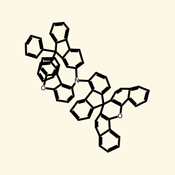 c1ccc(C2(c3ccccc3)c3ccccc3-c3ccc(N(c4cccc5c4-c4ccccc4C54c5ccc6ccccc6c5Oc5c4ccc4ccccc54)c4cccc5oc6ccccc6c45)cc32)cc1